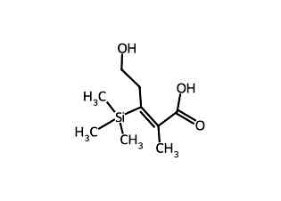 CC(C(=O)O)=C(CCO)[Si](C)(C)C